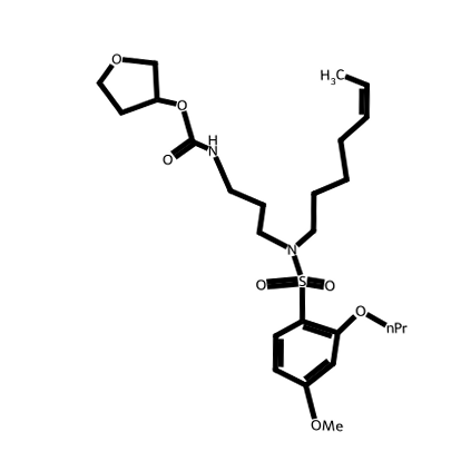 C/C=C\CCCCN(CCCNC(=O)OC1CCOC1)S(=O)(=O)c1ccc(OC)cc1OCCC